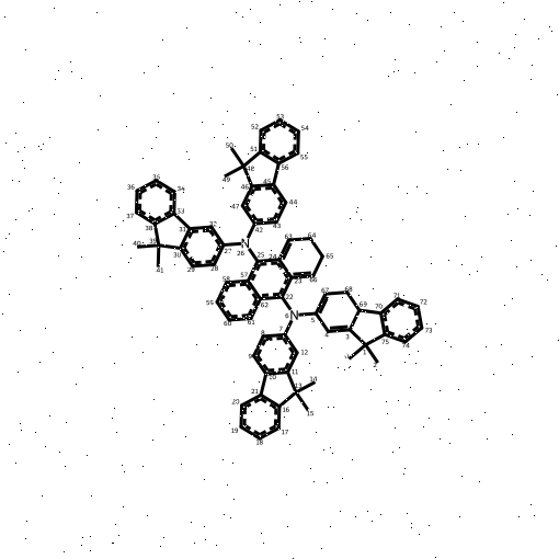 CC1(C)C2=CC(N(c3ccc4c(c3)C(C)(C)c3ccccc3-4)c3c4c(c(N(c5ccc6c(c5)-c5ccccc5C6(C)C)c5ccc6c(c5)C(C)(C)c5ccccc5-6)c5ccccc35)=CCCC=4)=CCC2c2ccccc21